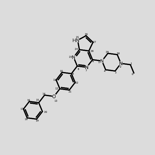 CCN1CCN(c2nc(-c3ccc(OCc4ccccc4)cc3)nc3[nH]ccc23)CC1